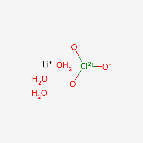 O.O.O.[Li+].[O-][Cl+2]([O-])[O-]